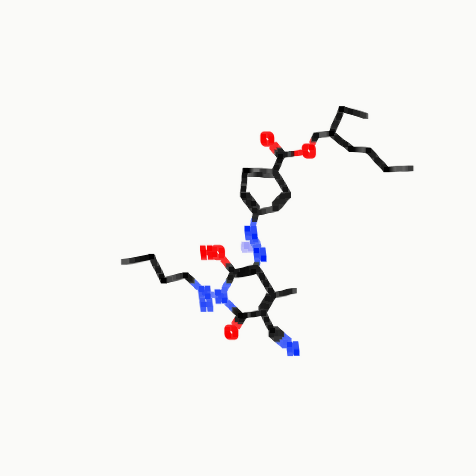 CCCCNn1c(O)c(/N=N/c2ccc(C(=O)OCC(CC)CCCC)cc2)c(C)c(C#N)c1=O